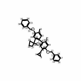 Cc1cc(-c2cc(C3CC3)c(OCc3ccccc3)cc2F)c(C2(O)CCC2)cc1OCc1ccccc1